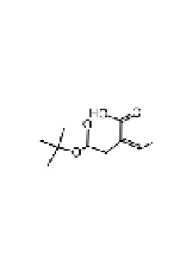 CC=C(CC(=O)OC(C)(C)C)C(=O)O